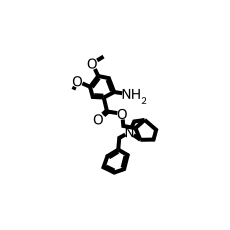 COc1cc(N)c(C(=O)OCC2C3CCC2N(Cc2ccccc2)C3)cc1OC